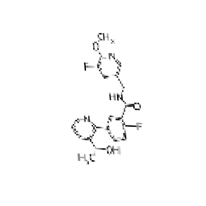 COc1ncc(CNC(=O)c2cc(-c3ncccc3[C@@H](C)O)ccc2F)cc1F